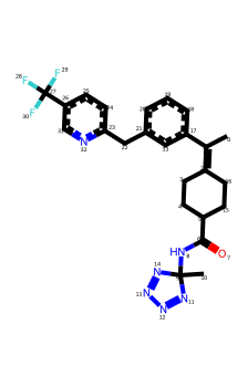 CC(=C1CCC(C(=O)NC2(C)N=NN=N2)CC1)c1cccc(Cc2ccc(C(F)(F)F)cn2)c1